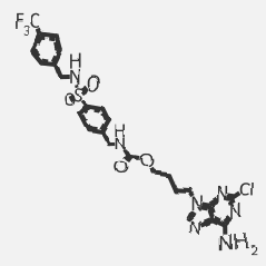 Nc1nc(Cl)nc2c1ncn2CCCCOC(=O)NCc1ccc(S(=O)(=O)NCc2ccc(C(F)(F)F)cc2)cc1